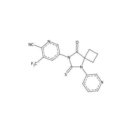 N#Cc1ncc(N2C(=O)C3(CCC3)N(c3cccnc3)C2=S)cc1C(F)(F)F